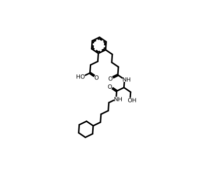 O=C(O)CCc1ccccc1CCCC(=O)NC(CO)C(=O)NCCCCC1CCCCC1